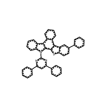 c1ccc(-c2ccc3sc4c(c3c2)c2ccccc2c2c3ccccc3n(-c3nc(-c5ccccc5)cc(-c5ccccc5)n3)c42)cc1